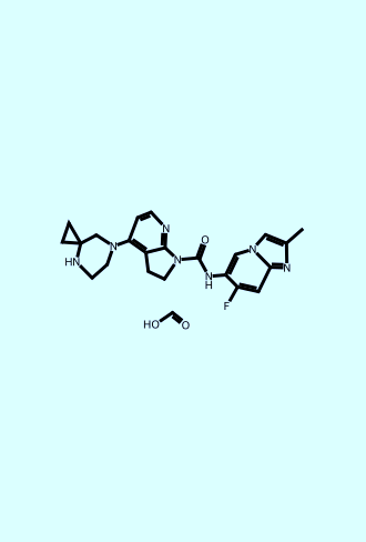 Cc1cn2cc(NC(=O)N3CCc4c(N5CCNC6(CC6)C5)ccnc43)c(F)cc2n1.O=CO